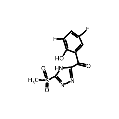 CS(=O)(=O)c1nnc(C(=O)c2cc(F)cc(F)c2O)[nH]1